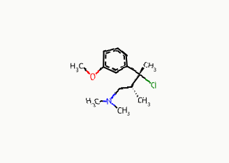 COc1cccc([C@](C)(Cl)[C@H](C)CN(C)C)c1